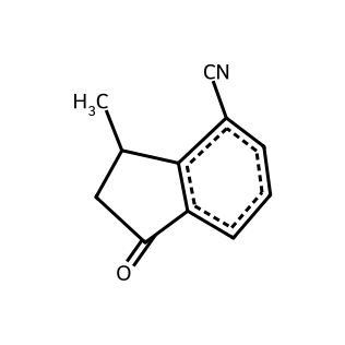 CC1CC(=O)c2cccc(C#N)c21